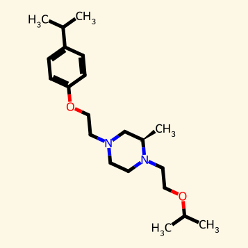 CC(C)OCCN1CCN(CCOc2ccc(C(C)C)cc2)C[C@H]1C